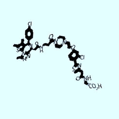 Cc1sc2c(c1C)C(c1ccc(Cl)cc1)=N[C@@H](CC(=O)NCCC(=O)N1CCN(CCOc3ccc(-c4nc(CC(=O)NCC(=O)O)cs4)c(Cl)c3)CC1)c1nnc(C)n1-2